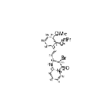 CCCOc1c(C=Cc2nc3ccccn3c(=O)c2Br)cccc1OC